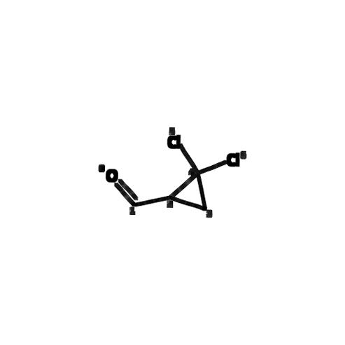 O=CC1CC1(Cl)Cl